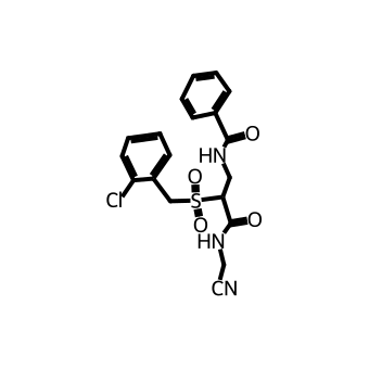 N#CCNC(=O)C(CNC(=O)c1ccccc1)S(=O)(=O)Cc1ccccc1Cl